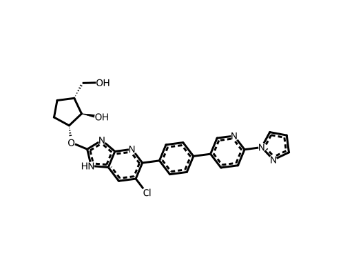 OC[C@H]1CC[C@@H](Oc2nc3nc(-c4ccc(-c5ccc(-n6cccn6)nc5)cc4)c(Cl)cc3[nH]2)[C@@H]1O